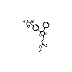 CCOC(=O)CCc1nc(-c2ccccc2)c(-c2ccc(S(N)(=O)=O)cc2)o1